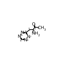 CC(=O)C(N)Cc1nncnn1